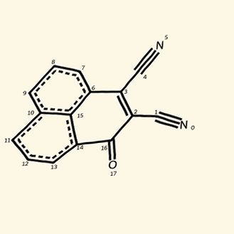 N#CC1=C(C#N)c2cccc3cccc(c23)C1=O